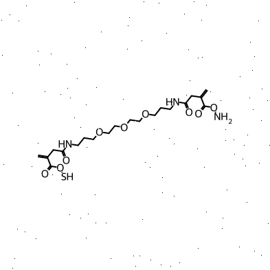 C=C(CC(=O)NCCCOCCOCCOCCCNC(=O)CC(=C)C(=O)OS)C(=O)ON